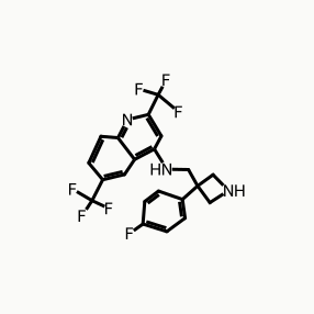 Fc1ccc(C2(CNc3cc(C(F)(F)F)nc4ccc(C(F)(F)F)cc34)CNC2)cc1